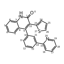 O=c1[nH]c2ccccc2c(-c2cccc(-c3ccccn3)c2)c1-c1cccs1